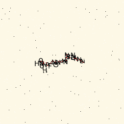 N#Cc1cnn2cc(-c3cnn(C4CC5(C4)CN(C(=O)CN4CCC(c6ccc(NC7CCC(=O)NC7=O)cc6F)CC4)C5)c3)cc(-c3ccc(N4CCN(Cc5ccccn5)CC4)nc3)c12